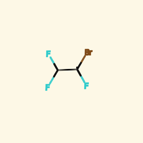 F[C](Br)C(F)F